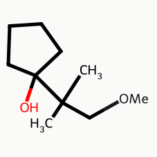 COCC(C)(C)C1(O)CCCC1